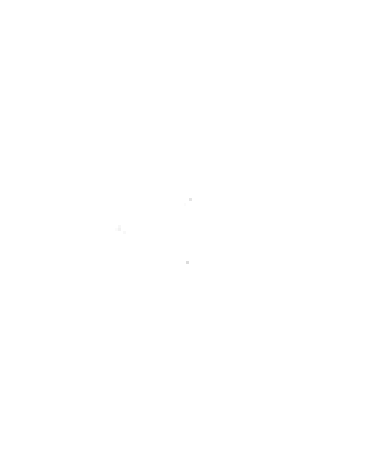 [CH2]CCCC1Oc2ccccc2O1